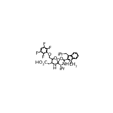 CC(C)Cc1c(C(=O)N[C@H](C(=O)NC(CC(=O)O)C(=O)COc2c(F)c(F)cc(F)c2F)C(C)C)n(C)c2ccccc12